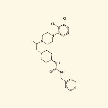 CC(C[C@H]1CC[C@H](NC(=O)NCc2ccccc2)CC1)N1CCN(c2cccc(Cl)c2Cl)CC1